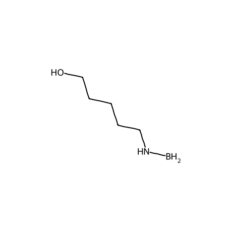 BNCCCCCO